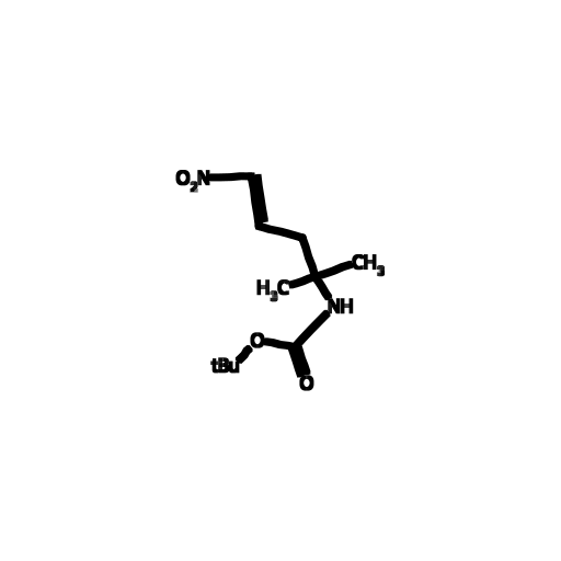 CC(C)(CC=C[N+](=O)[O-])NC(=O)OC(C)(C)C